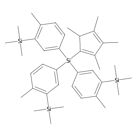 CC1=C(C)C(C)C([Si](c2ccc(C)c([Si](C)(C)C)c2)(c2ccc(C)c([Si](C)(C)C)c2)c2ccc(C)c([Si](C)(C)C)c2)=C1C